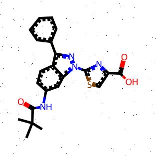 CC(C)(C)C(=O)Nc1ccc2c(-c3ccccc3)nn(-c3nc(C(=O)O)cs3)c2c1